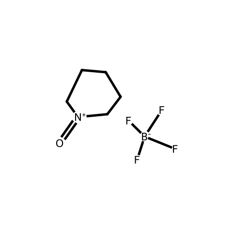 F[B-](F)(F)F.O=[N+]1CCCCC1